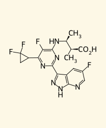 C[C@H](Nc1nc(-c2n[nH]c3ncc(F)cc23)nc(C2CC2(F)F)c1F)[C@H](C)C(=O)O